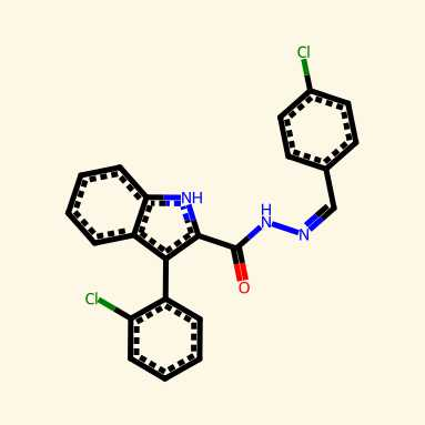 O=C(N/N=C\c1ccc(Cl)cc1)c1[nH]c2ccccc2c1-c1ccccc1Cl